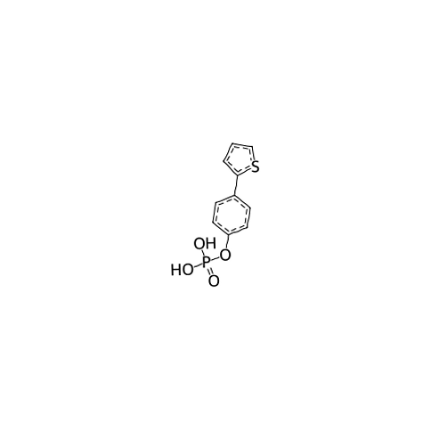 O=P(O)(O)Oc1ccc(-c2cccs2)cc1